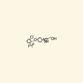 CC(F)(F)c1cccc(Cl)c1COc1ccc(-n2cc(CO)nn2)cc1